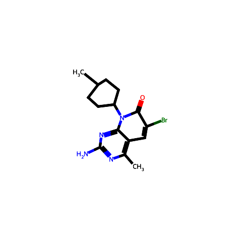 Cc1nc(N)nc2c1cc(Br)c(=O)n2C1CCC(C)CC1